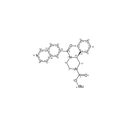 CC(C)(C)OC(=O)N1CCN(C(=O)c2ccc3cnccc3c2)[C@@H](c2ccccc2)C1